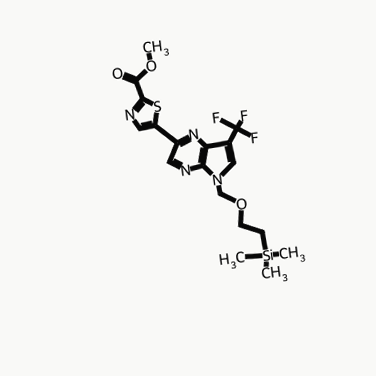 COC(=O)c1ncc(-c2cnc3c(n2)c(C(F)(F)F)cn3COCC[Si](C)(C)C)s1